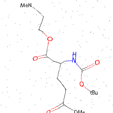 CNCCOC(=O)C(CCC(=O)OC)NC(=O)OC(C)(C)C